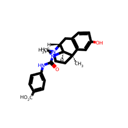 CN1CC[C@]2(C)c3cc(O)ccc3C[C@@H]1[C@@H]2N(C)C(=O)Nc1ccc(C(=O)O)cc1